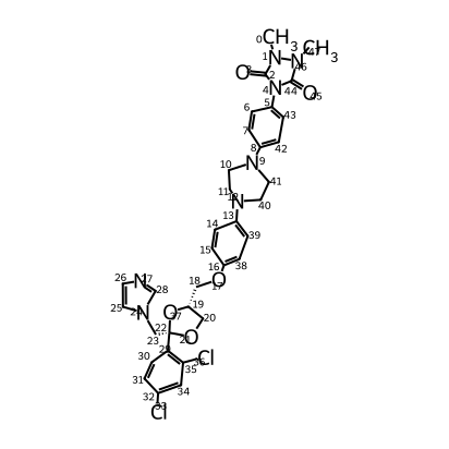 Cn1c(=O)n(-c2ccc(N3CCN(c4ccc(OC[C@@H]5CO[C@@](Cn6ccnc6)(c6ccc(Cl)cc6Cl)O5)cc4)CC3)cc2)c(=O)n1C